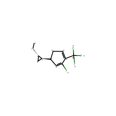 CC[C@H]1C[C@@H]1C1C=C(F)C(C(F)(F)F)=CC1